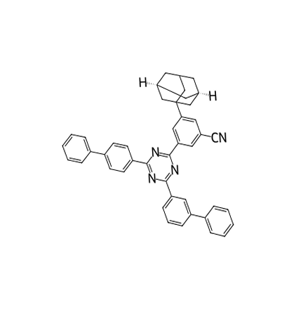 N#Cc1cc(-c2nc(-c3ccc(-c4ccccc4)cc3)nc(-c3cccc(-c4ccccc4)c3)n2)cc(C23CC4C[C@H](C2)C[C@@H](C4)C3)c1